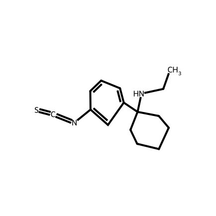 CCNC1(c2cccc(N=C=S)c2)CCCCC1